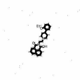 CCOc1ccccc1C1CCN(CCN2C(=O)c3cccc4cccc(c34)C2O)CC1